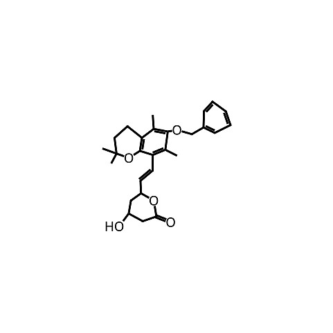 Cc1c(C=CC2CC(O)CC(=O)O2)c2c(c(C)c1OCc1ccccc1)CCC(C)(C)O2